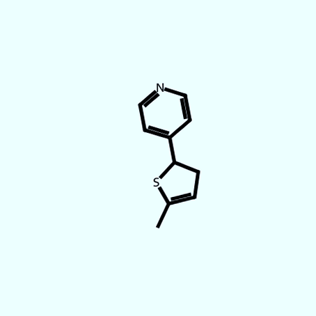 CC1=CCC(c2ccncc2)S1